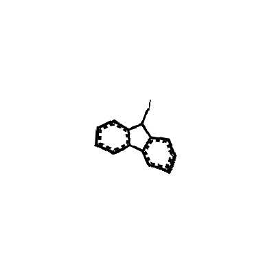 IC1c2ccccc2-c2ccccc21